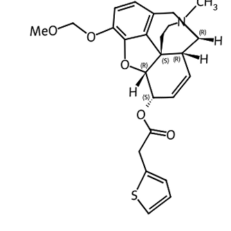 COCOc1ccc2c3c1O[C@H]1[C@@H](OC(=O)Cc4cccs4)C=C[C@H]4[C@@H](C2)N(C)CC[C@@]341